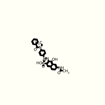 CCN(C(=O)c1ccccc1)c1ccc(/N=N/c2c(S(=O)(=O)O)cc3ccc(NC(C)=O)cc3c2O)cc1